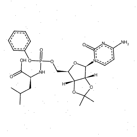 CC(C)C[C@H](NP(=O)(OC[C@H]1O[C@@H](n2ccc(N)nc2=O)[C@@H]2OC(C)(C)O[C@@H]21)Oc1ccccc1)C(=O)O